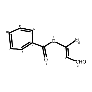 CCC(=CC=O)OC(=O)c1ccccc1